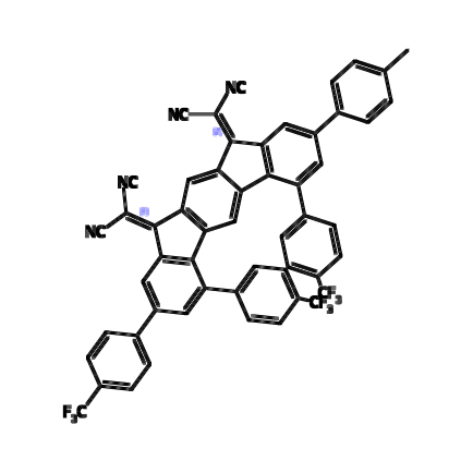 [C-]#[N+]/C(C#N)=C1/c2cc3c(cc2-c2c1cc(-c1ccc(C)cc1)cc2-c1ccc(C(F)(F)F)cc1)-c1c(cc(-c2ccc(C(F)(F)F)cc2)cc1-c1ccc(C(F)(F)F)cc1)/C3=C(\C#N)[N+]#[C-]